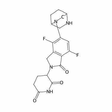 O=C1CCC(N2Cc3c(F)c(N4CC5CCC4CN5)cc(F)c3C2=O)C(=O)N1